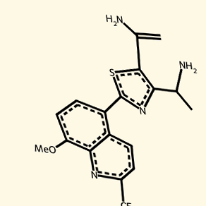 C=C(N)c1sc(-c2ccc(OC)c3nc(C(F)(F)F)ccc23)nc1C(C)N